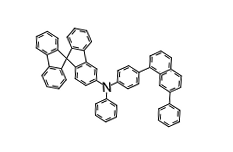 c1ccc(-c2ccc3cccc(-c4ccc(N(c5ccccc5)c5ccc6c(c5)-c5ccccc5C65c6ccccc6-c6ccccc65)cc4)c3c2)cc1